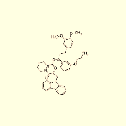 C=CCOc1cccc([C@@H](CCc2ccc(OC)c(OC)c2)OC(=O)[C@@H]2CCCCN2C(=O)OCC2c3ccccc3-c3ccccc32)c1